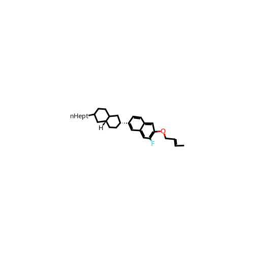 C/C=C/COc1cc2ccc([C@@H]3CC[C@@H]4CC(CCCCCCC)CCC4C3)cc2cc1F